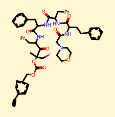 C#Cc1ccc(COC(=O)OC(C)(CI)C(=O)C(CC(C)C)NC(=O)C(Cc2ccccc2)NC(=O)C(CC(C)C)NC(=O)C(CCc2ccccc2)NC(=O)CN2CCOCC2)cc1